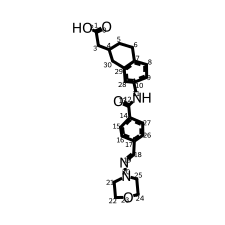 O=C(O)CC1CCc2ccc(NC(=O)c3ccc(C=NN4CCOCC4)cc3)cc2C1